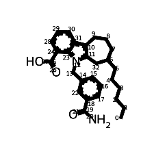 CCCCCCC1CCCc2c(n(Cc3cccc(C(N)=O)c3)c3c(C(=O)O)cccc23)C1